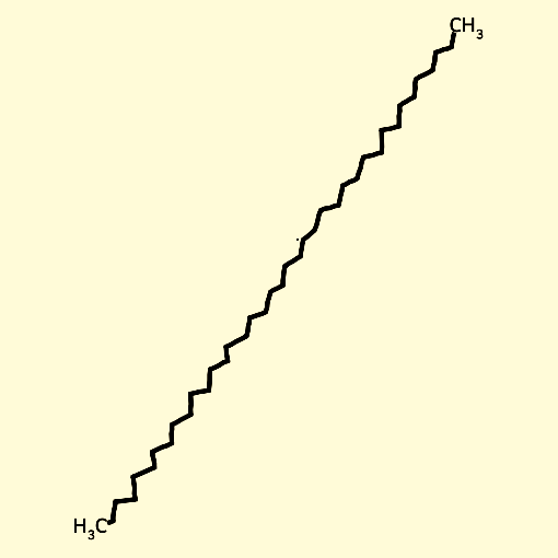 CCCCCCCCCCCCCCCC[CH]CCCCCCCCCCCCCCCCCCCCCC